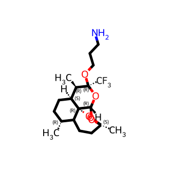 C[C@@H]1CC[C@H]2[C@@H](C)[C@](OCCCN)(C(F)(F)F)O[C@@H]3O[C@]4(C)CCC1[C@]32OO4